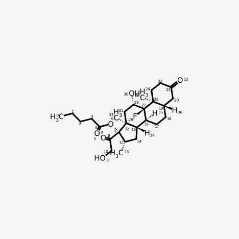 CCCCC(=O)O[C@@]1(C(=O)CO)[C@@H](C)C[C@H]2[C@@H]3CC[C@H]4CC(=O)CC[C@]4(C)[C@@]3(F)[C@@H](O)C[C@@]21C